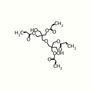 C=CC(=O)OCC(CO)(COCC(CO)(COC(=O)C=C)COC(=O)C=C)COC(=O)C=C